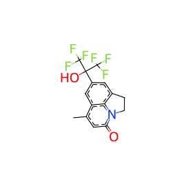 Cc1cc(=O)n2c3c(cc(C(O)(C(F)(F)F)C(F)(F)F)cc13)CC2